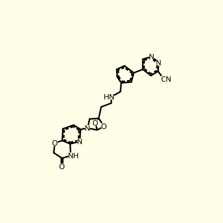 N#Cc1cc(-c2cccc(CNCCC34CN(c5ccc6c(n5)NC(=O)CO6)C(O3)O4)c2)cnn1